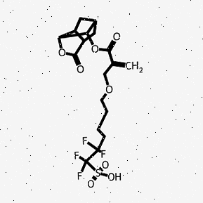 C=C(COCCCCC(F)(F)C(F)(F)S(=O)(=O)O)C(=O)OC1C2CC3C(=O)OC1C3C2